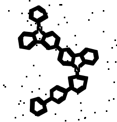 C1=CC(c2ccccc2)CC=C1c1cccc(-n2c3ccccc3c3cc(-c4ccc5c(c4)c4ccccc4n5-c4ccccc4)ccc32)c1